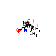 CCCC[C@H](C)[C@H](O)C=C[C@@H]1[C@H]2CC(=C(C#N)CCCC(=O)O)O[C@H]2C[C@H]1O